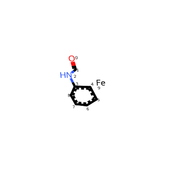 O=CNc1ccccc1.[Fe]